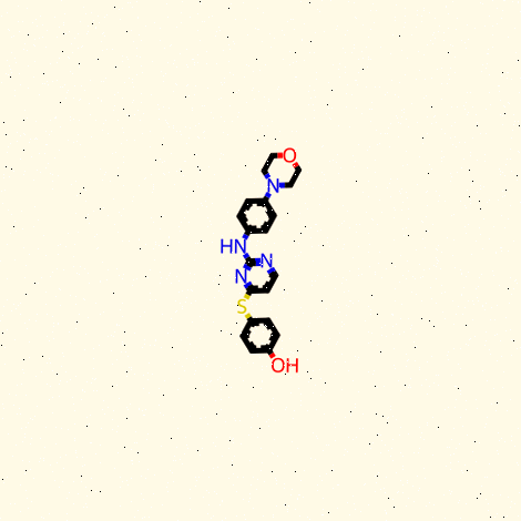 Oc1ccc(Sc2ccnc(Nc3ccc(N4CCOCC4)cc3)n2)cc1